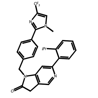 CC(C)c1ccccc1-c1cc2c(cn1)CC(=O)N2Cc1ccc(-c2nc(C(F)(F)F)cn2C)cc1